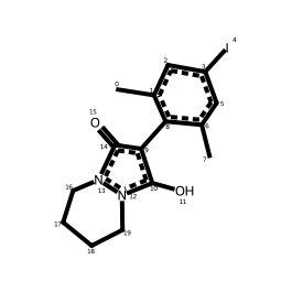 Cc1cc(I)cc(C)c1-c1c(O)n2n(c1=O)CCCC2